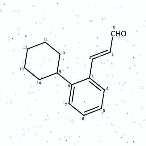 O=CC=Cc1ccccc1C1CCCCC1